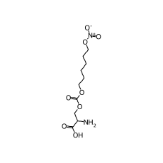 NC(COC(=O)OCCCCCCO[N+](=O)[O-])C(=O)O